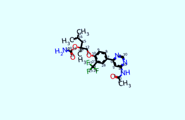 CC(=O)Nc1cc(-c2ccc(OC[C@](C)(CC(C)C)OC(N)=O)c(C(F)(F)F)c2)ncn1